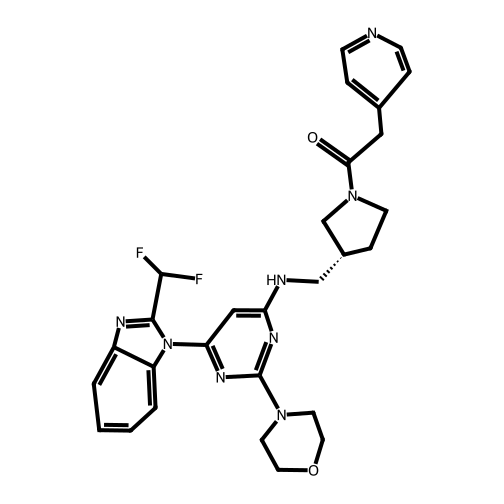 O=C(Cc1ccncc1)N1CC[C@H](CNc2cc(-n3c(C(F)F)nc4ccccc43)nc(N3CCOCC3)n2)C1